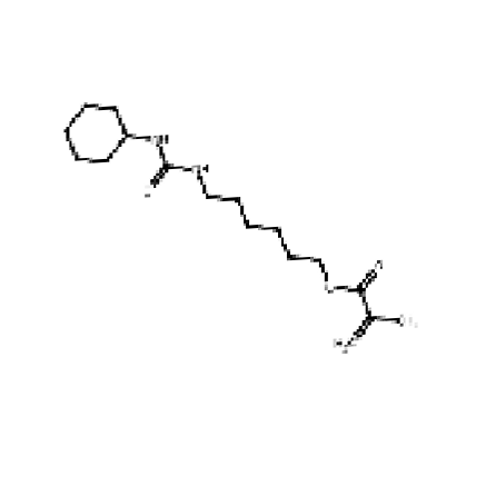 C=C(C)C(=O)OCCCCCCNC(=O)NC1CCCCC1